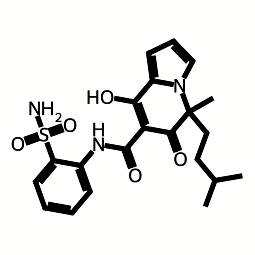 CC(C)CCC1(C)C(=O)C(C(=O)Nc2ccccc2S(N)(=O)=O)=C(O)c2cccn21